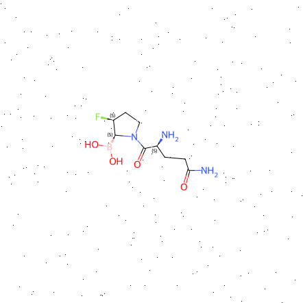 NC(=O)CC[C@H](N)C(=O)N1CC[C@H](F)[C@@H]1B(O)O